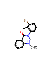 Cc1c(Br)cccc1N(C)C(=O)c1ccccc1NC=O